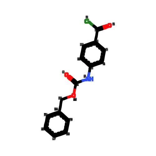 O=C(Nc1ccc(C(=O)Cl)cc1)OCc1ccccc1